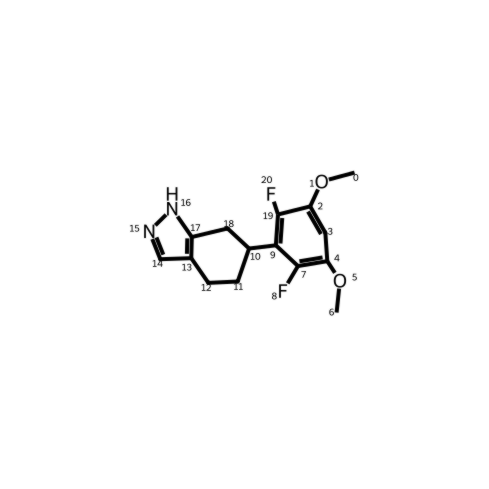 COc1cc(OC)c(F)c(C2CCc3cn[nH]c3C2)c1F